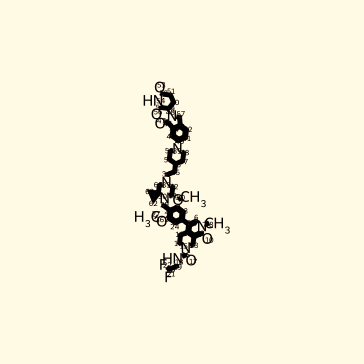 COc1cc(-c2cn(C)c(=O)c3c2CCN(C(=O)NCC(F)F)C3)cc(OC)c1CN1CCN(CCC2CCN(c3ccc4c(c3)C(=O)N(C3CCC(=O)NC3=O)C4)CC2)CC12CC2